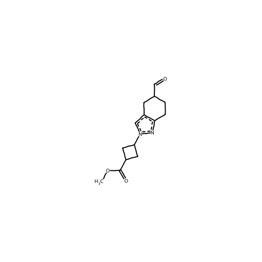 COC(=O)C1CC(n2cc3c(n2)CCC(C=O)C3)C1